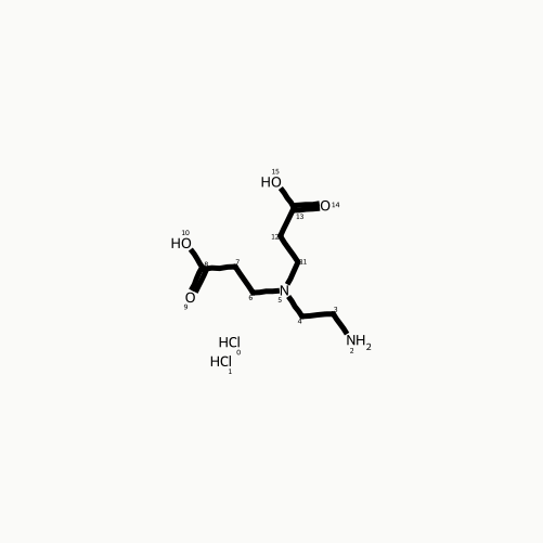 Cl.Cl.NCCN(CCC(=O)O)CCC(=O)O